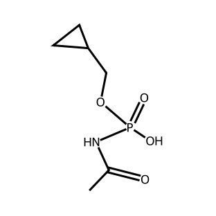 CC(=O)NP(=O)(O)OCC1CC1